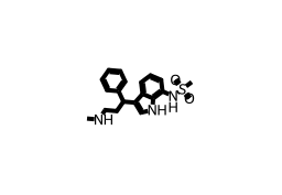 CNCCC(c1ccccc1)c1c[nH]c2c(NS(C)(=O)=O)cccc12